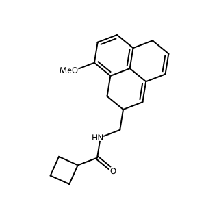 COc1ccc2c3c1CC(CNC(=O)C1CCC1)C=C3C=CC2